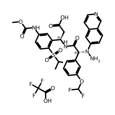 COC(=O)Nc1ccc(S(=O)(=O)C(C)C)c([C@@H](CC(=O)O)NC(=O)[C@@H](c2cccc(OC(F)F)c2)N(N)c2ccc3cnccc3c2)c1.O=C(O)C(F)(F)F